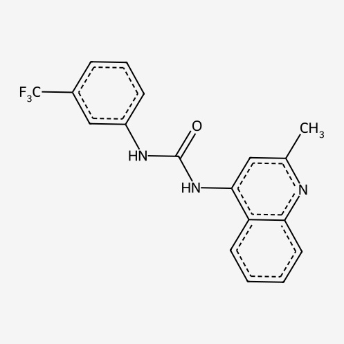 Cc1cc(NC(=O)Nc2cccc(C(F)(F)F)c2)c2ccccc2n1